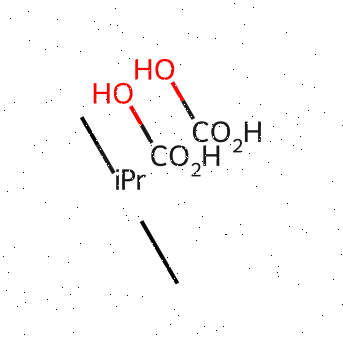 CC.CC(C)C.O=C(O)O.O=C(O)O